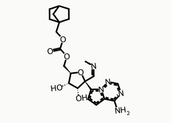 C/N=C\[C@@]1(c2ccc3c(N)ncnn23)O[C@H](COC(=O)OCC23CCC(CC2)C3)[C@@H](O)[C@H]1O